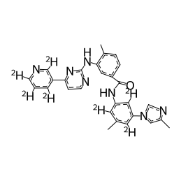 [2H]c1nc([2H])c(-c2ccnc(Nc3cc(C(=O)Nc4c([2H])c(C)c([2H])c(-n5cnc(C)c5)c4[2H])ccc3C)n2)c([2H])c1[2H]